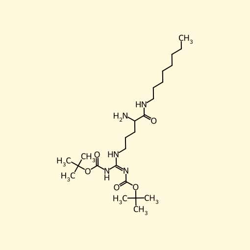 CCCCCCCCNC(=O)C(N)CCCNC(=NC(=O)OC(C)(C)C)NC(=O)OC(C)(C)C